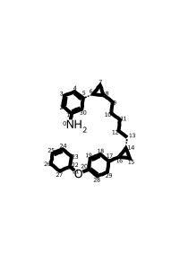 Nc1cccc([C@@H]2CC2CCCCC[C@@H]2CC2C2C=CC(OC3CC=CCC3)=CC2)c1